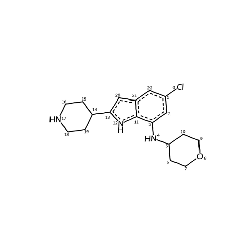 Clc1cc(NC2CCOCC2)c2[nH]c(C3CCNCC3)cc2c1